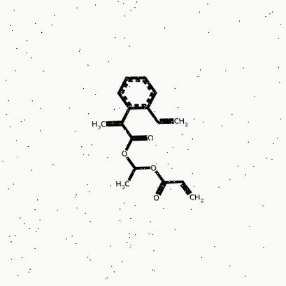 C=CC(=O)OC(C)OC(=O)C(=C)c1ccccc1C=C